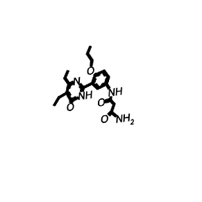 CCCOc1ccc(NC(=O)CC(N)=O)cc1-c1nc(CC)c(CC)c(=O)[nH]1